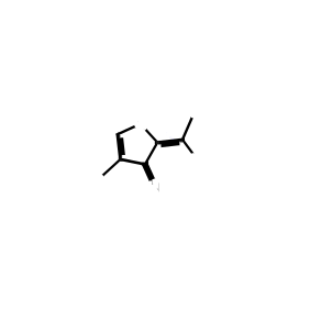 CC/C(C)=C1/SC=C(C)C1=N